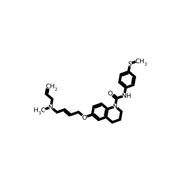 C=CCN(C)CC=CCOc1ccc2c(c1)CCCN2C(=O)Nc1ccc(SC)cc1